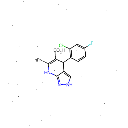 CCCC1=C(C(=O)O)C(c2ccc(F)cc2Cl)c2c[nH]nc2N1